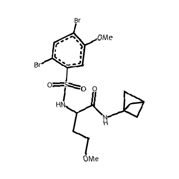 COCCC(NS(=O)(=O)c1cc(OC)c(Br)cc1Br)C(=O)NC12CC(C1)C2